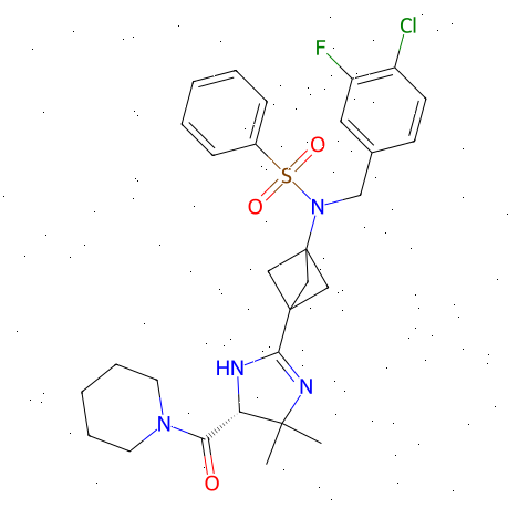 CC1(C)N=C(C23CC(N(Cc4ccc(Cl)c(F)c4)S(=O)(=O)c4ccccc4)(C2)C3)N[C@H]1C(=O)N1CCCCC1